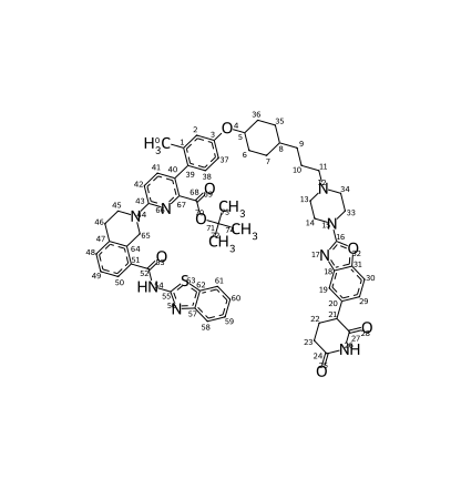 Cc1cc(OC2CCC(CCCN3CCN(c4nc5cc(C6CCC(=O)NC6=O)ccc5o4)CC3)CC2)ccc1-c1ccc(N2CCc3cccc(C(=O)Nc4nc5ccccc5s4)c3C2)nc1C(=O)OC(C)(C)C